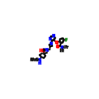 CCN(C(=O)c1cc(F)ccc1Oc1cncnc1N1CC(CNCC2(O)CCC(NSC)CC2)C1)C(C)C